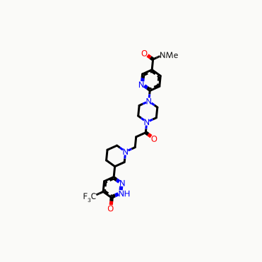 CNC(=O)c1ccc(N2CCN(C(=O)CCN3CCCC(c4cc(C(F)(F)F)c(=O)[nH]n4)C3)CC2)nc1